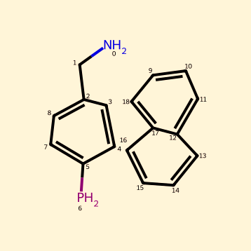 NCc1ccc(P)cc1.c1ccc2ccccc2c1